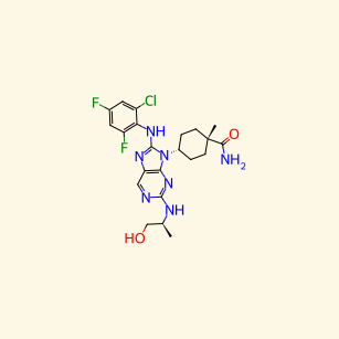 C[C@@H](CO)Nc1ncc2nc(Nc3c(F)cc(F)cc3Cl)n([C@H]3CC[C@@](C)(C(N)=O)CC3)c2n1